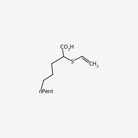 C=CSC(CCCCCCCC)C(=O)O